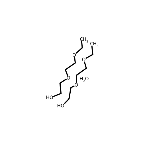 CCOCCOCCO.CCOCCOCCO.O